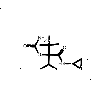 CC(C)C(OC(N)=O)(C(=O)NC1CC1)C(C)(C)C